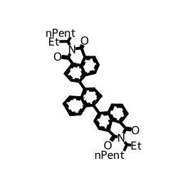 CCCCCC(CC)N1C(=O)c2cccc3c(-c4ccc(-c5ccc6c7c(cccc57)C(=O)N(C(CC)CCCCC)C6=O)c5ccccc45)ccc(c23)C1=O